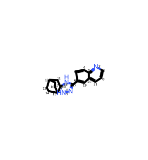 c1cnc2ccc(C3=NN[C@]4(CC5CCC4CC5)N3)cc2c1